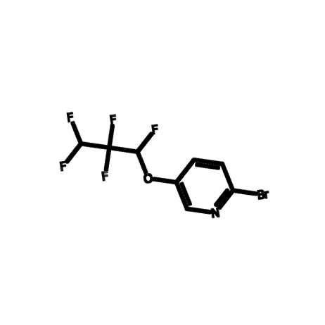 FC(F)C(F)(F)C(F)Oc1ccc(Br)nc1